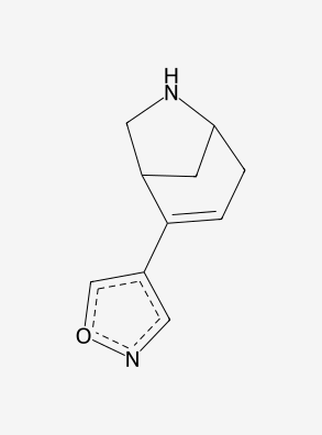 C1=C(c2cnoc2)C2CNC(C1)C2